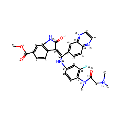 COC(=O)c1ccc2c(c1)NC(=O)C2=C(Nc1ccc(N(C)C(=O)CN(C)C)c(F)c1)c1ccc2nccnc2c1